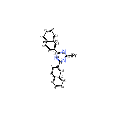 CC(C)c1nc(-c2ccc3ccccc3c2)nc(-c2ccc3ccccc3c2)n1